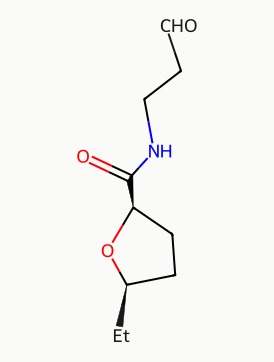 CC[C@@H]1CC[C@H](C(=O)NCCC=O)O1